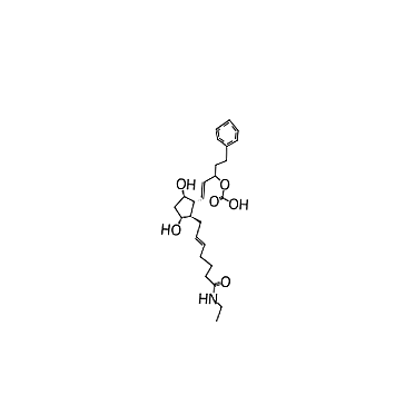 CCNC(=O)CCCC=CC[C@@H]1[C@@H](C=CC(CCc2ccccc2)OC(=O)O)[C@H](O)C[C@@H]1O